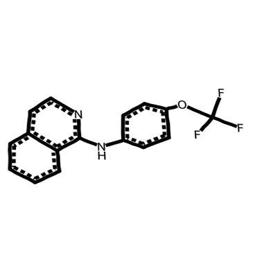 FC(F)(F)Oc1ccc(Nc2nccc3ccccc23)cc1